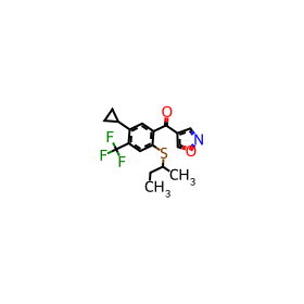 CCC(C)Sc1cc(C(F)(F)F)c(C2CC2)cc1C(=O)c1cnoc1